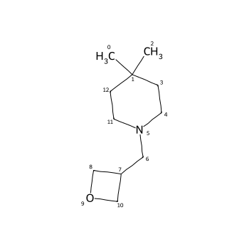 CC1(C)CCN(CC2COC2)CC1